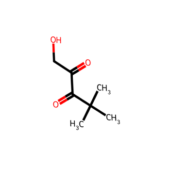 CC(C)(C)C(=O)C(=O)CO